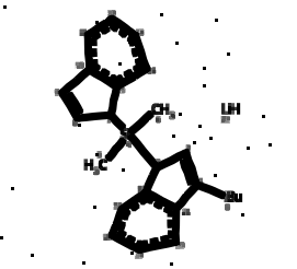 CCC(C)C1=CC([Si](C)(C)C2C=Cc3ccccc32)c2ccccc21.[LiH]